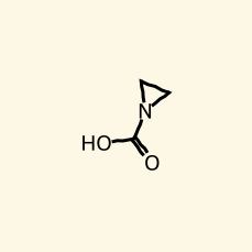 O=C(O)N1CC1